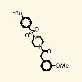 COc1cccc(CC(=O)N2CCN(S(=O)(=O)c3ccc(C(C)(C)C)cc3)CC2)c1